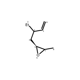 C=CC(CC)C[C@@H]1OC1C